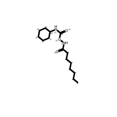 CCCCCCCC(=O)NOC(=O)NC1CCCCC1